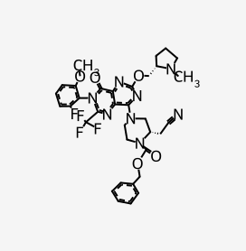 COc1cccc(F)c1-n1c(C(F)(F)F)nc2c(N3CCN(C(=O)OCc4ccccc4)[C@@H](CC#N)C3)nc(OC[C@@H]3CCCN3C)nc2c1=O